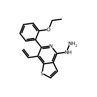 C=Cc1c(-c2ccccc2OCC)nc(NN)c2ccsc12